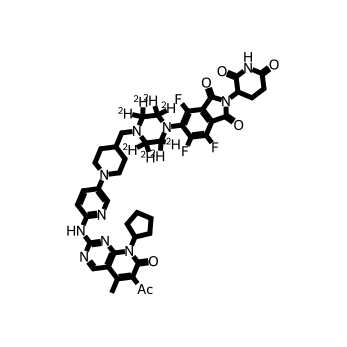 [2H]C1([2H])N(CC2CCN(c3ccc(Nc4ncc5c(C)c(C(C)=O)c(=O)n(C6CCCC6)c5n4)nc3)CC2)C([2H])([2H])C([2H])([2H])N(c2c(F)c(F)c3c(c2F)C(=O)N(C2CCC(=O)NC2=O)C3=O)C1([2H])[2H]